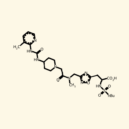 CCCCS(=O)(=O)NC(Cc1nc(CN(C)C(=O)CN2CCC(NC(=O)Nc3ncccc3C)CC2)no1)C(=O)O